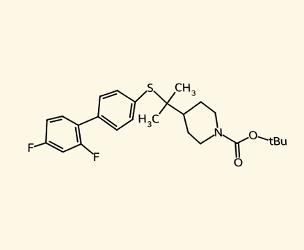 CC(C)(C)OC(=O)N1CCC(C(C)(C)Sc2ccc(-c3ccc(F)cc3F)cc2)CC1